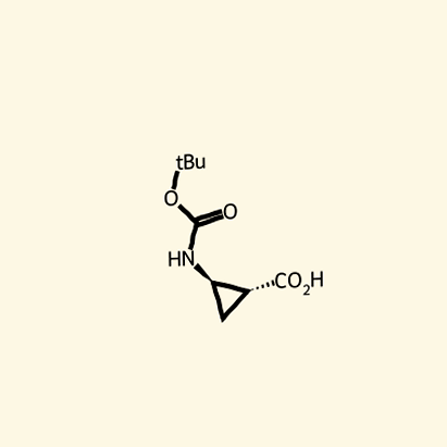 CC(C)(C)OC(=O)N[C@@H]1C[C@H]1C(=O)O